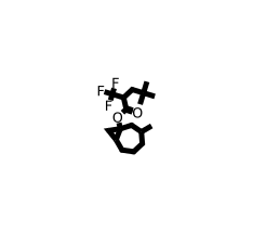 CC1CCCC2CC2(OC(=O)C(CC(C)(C)C)C(F)(F)F)C1